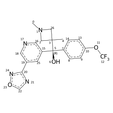 CN1CC(C)([C@](O)(c2ccc(OC(F)(F)F)cc2)c2cncc(-c3ncon3)c2)C1